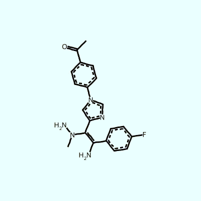 CC(=O)c1ccc(-n2cnc(/C(=C(/N)c3ccc(F)cc3)N(C)N)c2)cc1